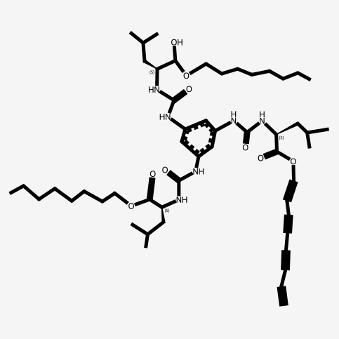 C#CC#CC#CC#COC(=O)[C@H](CC(C)C)NC(=O)Nc1cc(NC(=O)N[C@@H](CC(C)C)C(=O)OCCCCCCCC)cc(NC(=O)N[C@@H](CC(C)C)C(O)OCCCCCCCC)c1